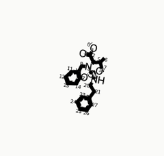 COC(=O)C(C(C)C)N(Cc1ccccc1)S(=O)(=O)NCCc1ccccc1